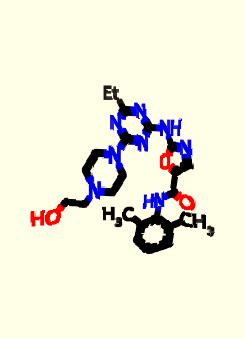 CCc1nc(Nc2ncc(C(=O)Nc3c(C)cccc3C)o2)nc(N2CCN(CCO)CC2)n1